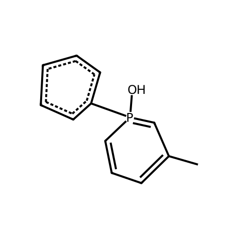 CC1=CC=CP(O)(c2ccccc2)=C1